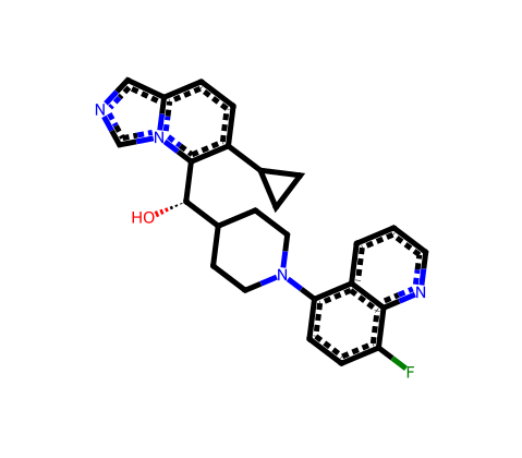 O[C@H](c1c(C2CC2)ccc2cncn12)C1CCN(c2ccc(F)c3ncccc23)CC1